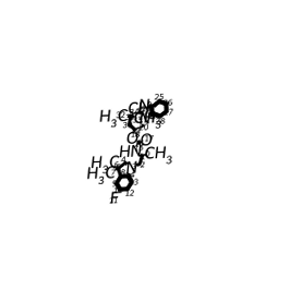 C[C@@H](CN1CC(C)(C)c2cc(F)ccc21)NC(=O)O[C@H](Cn1cnc2ccccc21)CC(C)(C)C